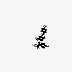 COc1ccc(COc2cc(OC)c(-n3nc(C(=O)O)c4cnc(Cl)cc43)cc2F)cc1